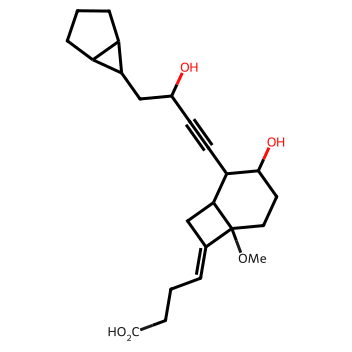 COC12CCC(O)C(C#CC(O)CC3C4CCCC43)C1CC2=CCCC(=O)O